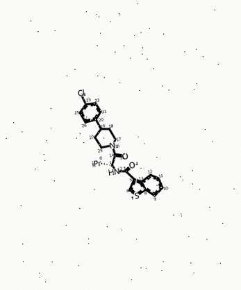 CC(C)[C@@H](NC(=O)c1csc2ccccc12)C(=O)N1CCC(c2ccc(Cl)cc2)CC1